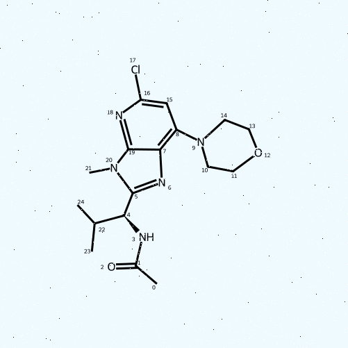 CC(=O)N[C@H](c1nc2c(N3CCOCC3)cc(Cl)nc2n1C)C(C)C